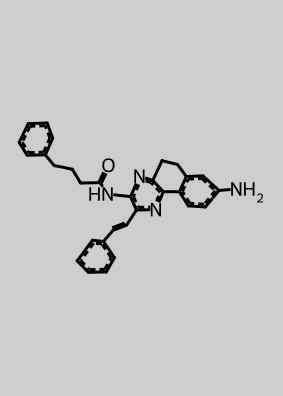 Nc1ccc2c(c1)CCc1nc(NC(=O)CCCc3ccccc3)c(/C=C/c3ccccc3)nc1-2